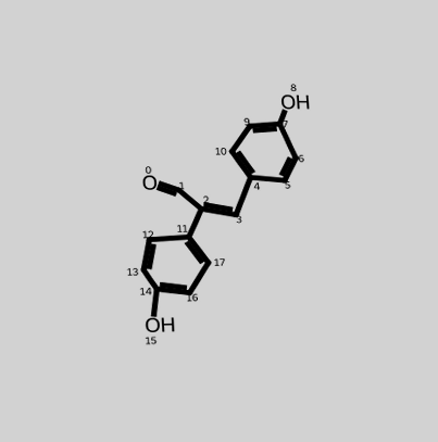 O=CC(=Cc1ccc(O)cc1)c1ccc(O)cc1